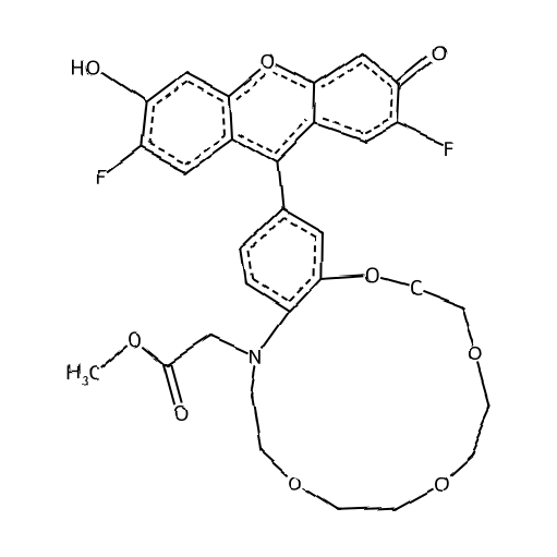 COC(=O)CN1CCOCCOCCOCCOc2cc(-c3c4cc(F)c(=O)cc-4oc4cc(O)c(F)cc34)ccc21